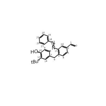 C=Cc1ccc(Cc2ccc(O)c(C(C)(C)C)c2)c(N=Nc2ccccc2)c1